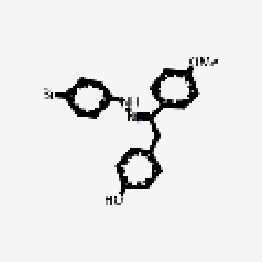 COc1ccc(/C(Cc2ccc(O)cc2)=N\Nc2ccc(Br)cc2)cc1